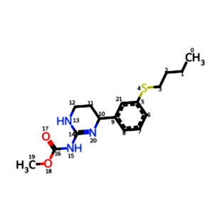 CCCCSc1cccc(C2CCNC(NC(=O)OC)=N2)c1